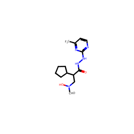 O=CN(O)CC(C(=O)NNc1nccc(C(F)(F)F)n1)C1CCCC1